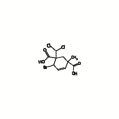 CC1(C(=O)O)C=CC(Br)C(C(=O)O)(C(Cl)Cl)C1